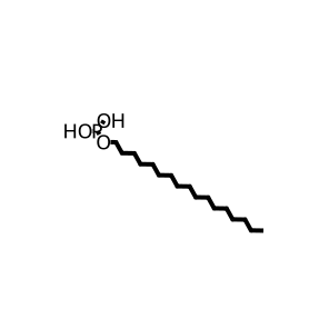 CCCCCCCCCCCCCCCCCOP(O)O